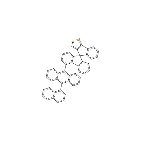 c1ccc2c(c1)-c1sccc1C21c2ccccc2-c2c(-c3c4ccccc4c(-c4cccc5ccccc45)c4ccccc34)cccc21